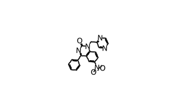 O=c1nc(-c2ccccc2)c2cc([N+](=O)[O-])ccc2n1Cc1cnccn1